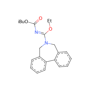 CCO/C(=N\C(=O)OCC(C)C)N1Cc2ccccc2-c2ccccc2C1